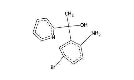 CC(O)(c1ccccn1)c1cc(Br)ccc1N